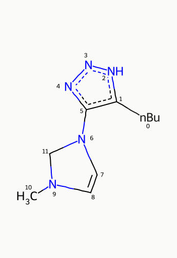 CCCCc1[nH]nnc1N1C=CN(C)C1